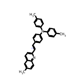 Cc1ccc(N(c2ccc(C)cc2)c2ccc(/C=C/c3ccc4cc(C)ccc4n3)cc2)cc1